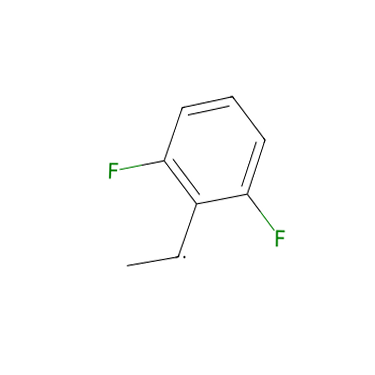 C[CH]c1c(F)cccc1F